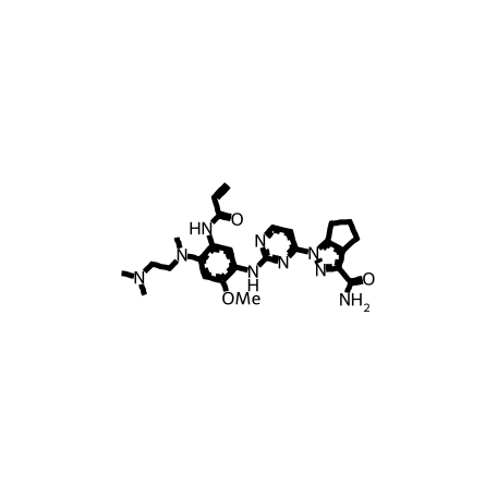 C=CC(=O)Nc1cc(Nc2nccc(-n3nc(C(N)=O)c4c3CCC4)n2)c(OC)cc1N(C)CCN(C)C